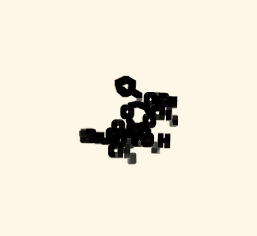 CC(C)CO[C@@H]1[C@@H](Cc2ccccc2)COC[C@H](N(C(=O)O)C(=O)OC(C)(C)CC(C)(C)C)C(=O)O[C@H]1C